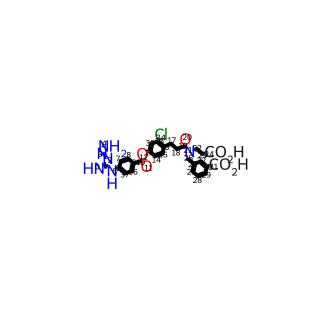 N=C(N=NN)Nc1ccc(C(=O)Oc2ccc(CCC(=O)N(CCC(=O)O)Cc3cccc(C(=O)O)c3)c(Cl)c2)cc1